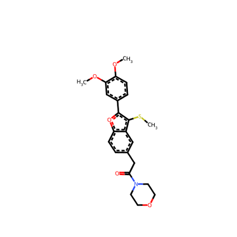 COc1ccc(-c2oc3ccc(CC(=O)N4CCOCC4)cc3c2SC)cc1OC